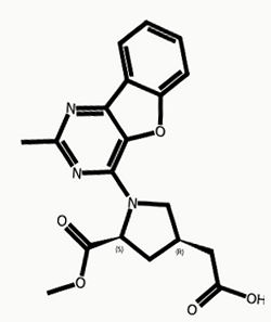 COC(=O)[C@@H]1C[C@H](CC(=O)O)CN1c1nc(C)nc2c1oc1ccccc12